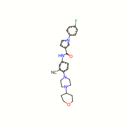 N#Cc1cc(NC(=O)c2ccn(-c3ccc(F)cc3)c2)ccc1N1CCN(C2CCOCC2)CC1